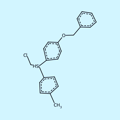 Cc1ccc([SiH](CCl)c2ccc(OCc3ccccc3)cc2)cc1